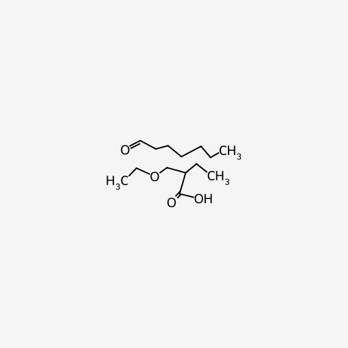 CCCCCCC=O.CCOCC(CC)C(=O)O